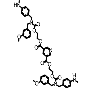 CNc1ccc(CN(Cc2cccc(OC)c2)C(=O)OCCOC(=O)c2cncc(C(=O)OCCOC(=O)N(Cc3ccc(NC)cc3)Cc3cccc(OC)c3)c2)cc1